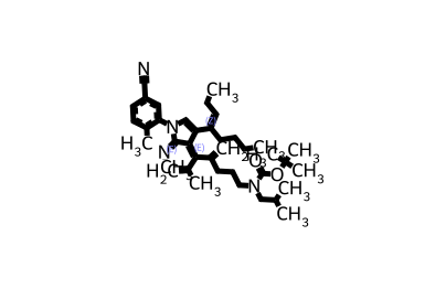 C=C(C)/C(C(=C)CCCN(CC(C)C)C(=O)OC(C)(C)C)=C1/C(/C(=C\CC)CCCC)=CN(c2cc(C#N)ccc2C)/C1=N/C